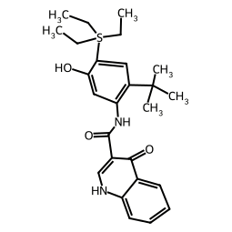 CCS(CC)(CC)c1cc(C(C)(C)C)c(NC(=O)c2c[nH]c3ccccc3c2=O)cc1O